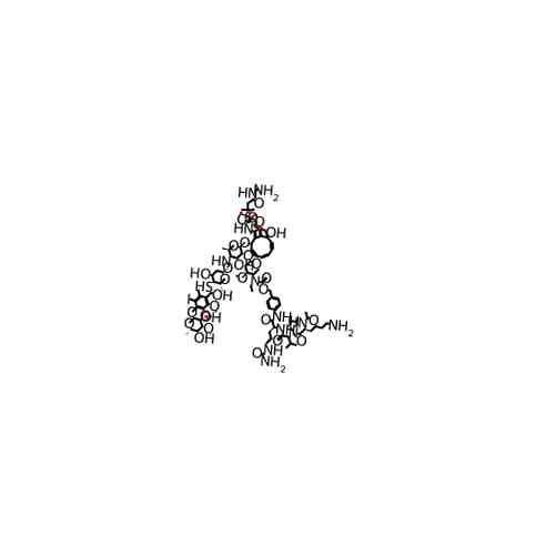 CCN(C(=O)OCc1ccc(NC(=O)[C@H](CCCNC(N)=O)NC(=O)[C@@H](NC(=O)[C@H](CCCCN)NC(C)=O)C(C)C)cc1)[C@H]1CO[C@@H](O[C@H]2[C@H](O[C@H]3C#CC=CC#C[C@]4(O)CC(=O)C(NC(=O)OC)=C3/C4=C\CSSC(C)(C)CC(=O)NN)O[C@H](C)[C@@H](NO[C@H]3C[C@H](O)[C@H]([SH]=C(O)c4c(C)c(I)c(O[C@@H]5O[C@@H](C)[C@H](O)[C@@H](OC)[C@H]5O)c(OC)c4OC)[C@@H](C)O3)[C@@H]2O)C[C@@H]1OC